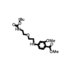 COC(=O)c1ccc(NCCOCCNC(=O)OC(C)(C)C)cc1OC